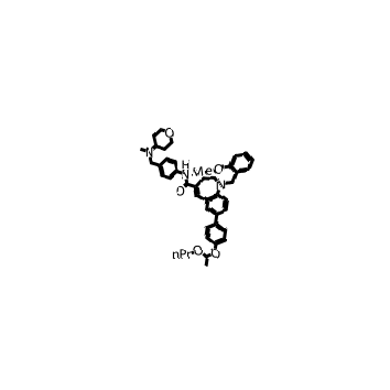 CCCOC(C)Oc1ccc(-c2ccc3c(c2)C=C(C(=O)Nc2ccc(CN(C)C4CCOCC4)cc2)CCN3Cc2ccccc2OC)cc1